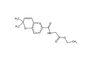 CCOC(=O)CNC(=O)c1ccc2c(c1)C=CC(C)(C)O2